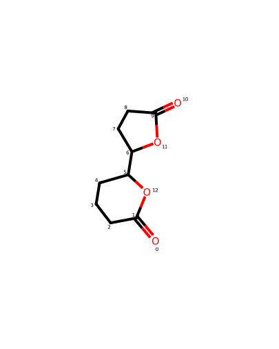 O=C1CCCC(C2CCC(=O)O2)O1